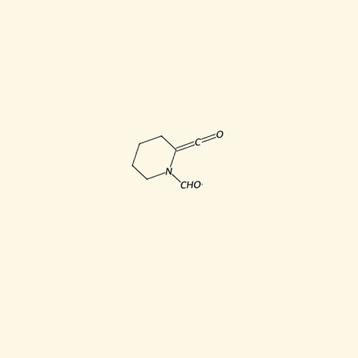 O=[C]N1CCCCC1=C=O